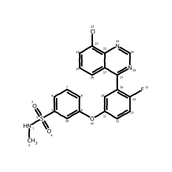 CNS(=O)(=O)c1cccc(Oc2ccc(F)c(-c3ncnc4c(Cl)cccc34)c2)c1